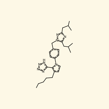 CCCCCc1ccn(-c2ccc(Cn3nc(CC(C)C)nc3CC(C)C)cc2)c1-c1nnn[nH]1